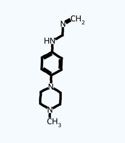 C=NCNc1ccc(N2CCN(C)CC2)cc1